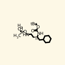 C[SiH](C)ONCC[C@H](CC1CCCCC1)NC(=O)OC(C)(C)C